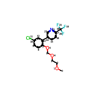 COCCOCOc1ccc(Cl)cc1-c1ccc(C(F)(F)F)nc1